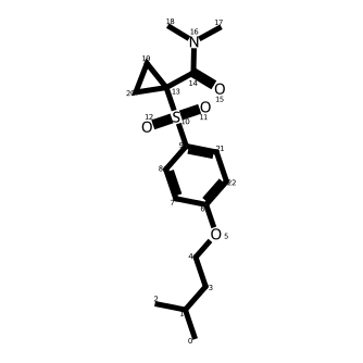 CC(C)CCOc1ccc(S(=O)(=O)C2(C(=O)N(C)C)CC2)cc1